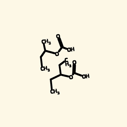 CCC(C)OC(=O)O.CCC(CC)OC(=O)O